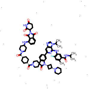 Cc1cc(F)c(Nc2nc(-c3ccc4c(c3)N([C@H]3C[C@@H](N5CCCCC5)C3)C(=O)C43CCN(C(=O)[C@H]4CC[C@@H](C(=O)N5CCC(Nc6cccc7c6C(=O)N(C6CCC(=O)NC6=O)C7=O)CC5)CC4)CC3)cc3ncn(C(C)C)c23)cc1C(=O)NC(C)C